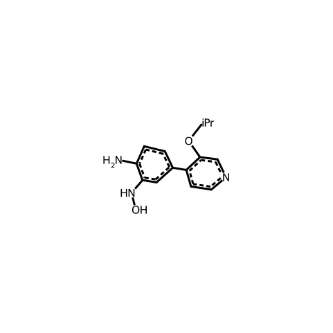 CC(C)Oc1cnccc1-c1ccc(N)c(NO)c1